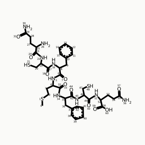 CSCCC(NC(=O)C(Cc1ccccc1)NC(=O)C(CS)NC(=O)C(N)CCC(N)=O)C(=O)NC(Cc1ccccc1)C(=O)NC(CS)C(=O)NC(CCC(N)=O)C(=O)O